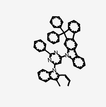 C/C=C\c1c(C)c2ccccc2n1-c1cc(-n2c3ccccc3c3cc4c(cc32)C(c2ccccc2)(c2ccccc2)c2ccccc2-4)nc(-c2ccccc2)n1